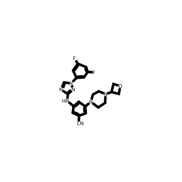 N#Cc1cc(Nc2ncn(-c3cc(F)cc(F)c3)n2)cc(N2CCN(C3COC3)CC2)c1